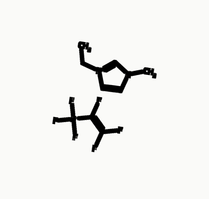 CC[n+]1ccn(C)c1.FC(F)=C(F)[B-](F)(F)F